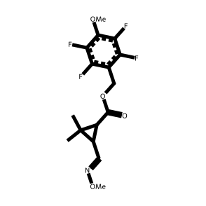 CON=CC1C(C(=O)OCc2c(F)c(F)c(OC)c(F)c2F)C1(C)C